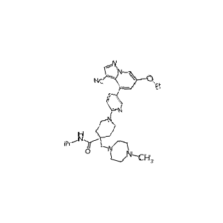 CCOc1cc(-c2ccc(N3CCC(CN4CCN(C)CC4)(C(=O)NC(C)C)CC3)nc2)c2c(C#N)cnn2c1